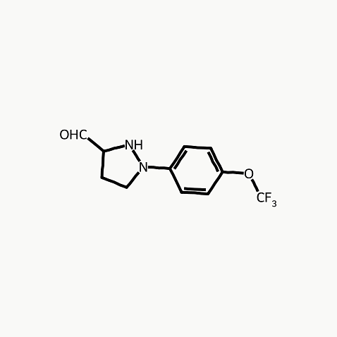 O=CC1CCN(c2ccc(OC(F)(F)F)cc2)N1